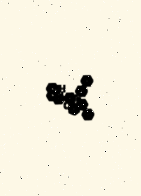 C1=CNC2C(=C1)C=Cc1ccc(-c3ccc(N(c4ccc(-c5ccccc5)cc4)c4ccc(-c5ccccc5)cc4)c4c3oc3ccccc34)nc12